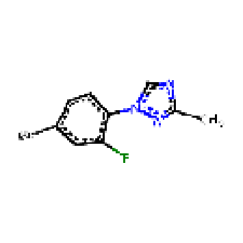 CCC(C)c1ccc(-n2cnc(C)n2)c(F)c1